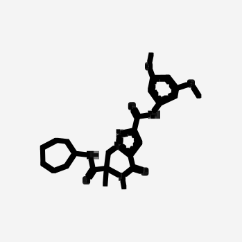 COc1cc(NC(=O)c2cc3n(n2)CC(C)(C(=O)NC2CCCCCC2)N(C)C3=O)cc(OC)c1